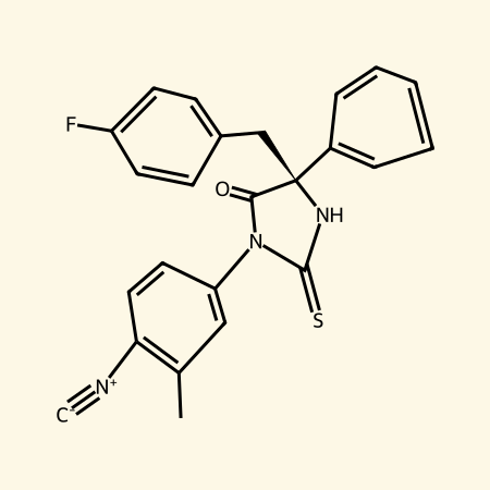 [C-]#[N+]c1ccc(N2C(=O)[C@](Cc3ccc(F)cc3)(c3ccccc3)NC2=S)cc1C